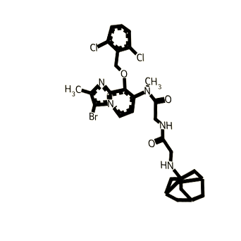 Cc1nc2c(OCc3c(Cl)cccc3Cl)c(N(C)C(=O)CNC(=O)CNC34CC5CC(CC(C5)C3)C4)ccn2c1Br